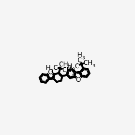 CC(C)(C)C1=C(c2ccc3c(c2)oc2cccc(C(C)(C)C)c23)CCc2c1oc1ccccc21